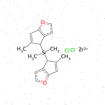 CC1=Cc2occc2C1[Si](C)(C)C1C(C)=Cc2occc21.[Cl-].[Cl-].[Zr+2]